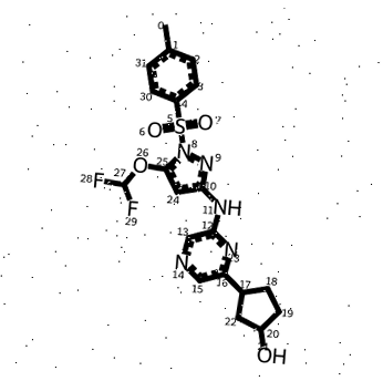 Cc1ccc(S(=O)(=O)n2nc(Nc3cncc(C4CCC(O)C4)n3)cc2OC(F)F)cc1